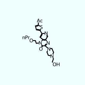 CCCOCCn1c(=O)c(N2CCN(CCO)CC2)nc2cnc(-c3ccc(C(C)=O)s3)cc21